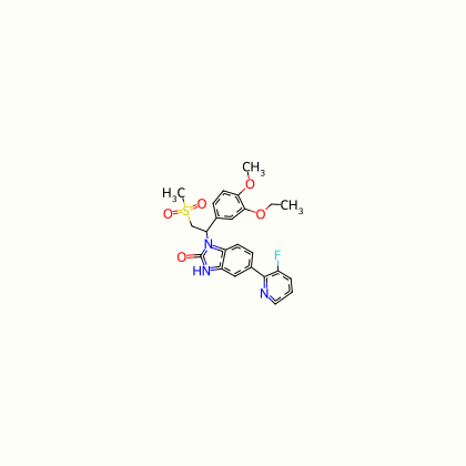 CCOc1cc(C(CS(C)(=O)=O)n2c(=O)[nH]c3cc(-c4ncccc4F)ccc32)ccc1OC